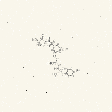 CC(C)(Cc1ccc(F)cc1)NC[C@@H](O)COc1cccc(S(=O)(=O)NC2CNC(C#N)C2Cl)c1.Cl